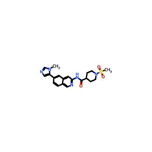 Cn1cncc1-c1ccc2cnc(NC(=O)C3CCN(S(C)(=O)=O)CC3)cc2c1